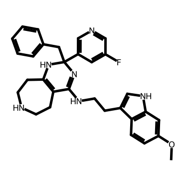 COc1ccc2c(CCNC3=NC(Cc4ccccc4)(c4cncc(F)c4)NC4=C3CCNCC4)c[nH]c2c1